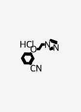 Cl.N#Cc1cccc(OCCn2ccnc2)c1